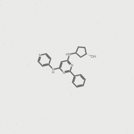 O[C@H]1CCC(Nc2cc(Nc3ccncc3)nc(-c3ccccc3)n2)C1